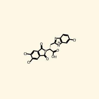 O=C(O)[C@@H](Cc1nc2ccc(Cl)cc2[nH]1)N1C(=O)c2cc(Cl)c(Cl)cc2C1=O